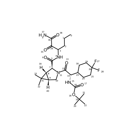 CCCC(NC(=O)[C@@H]1[C@@H]2[C@H](CN1C(=O)[C@@H](NC(=O)OC(C)(C)C)C1CCC(F)(F)CC1)C2(C)C)C(=O)C(N)=O